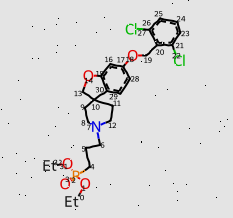 CCOP(=O)(CCCN1CCC2(CC1)COc1cc(OCc3c(Cl)cccc3Cl)ccc12)OCC